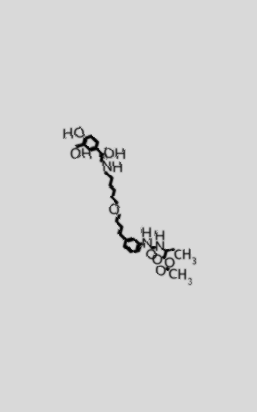 CCC(NC(=O)Nc1cccc(CCCCOCCCCCCNC[C@@H](O)c2ccc(O)c(CO)c2)c1)C(=O)OC(C)=O